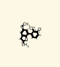 COc1cc2c(c(-c3cccc(Cl)c3Cl)c1)OC(C)C2